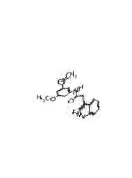 COc1cc(NC(=O)Cc2c[nH]c3ccccc23)cc(OC)c1